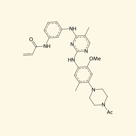 C=CC(=O)Nc1cccc(Nc2nc(Nc3cc(C)c(N4CCN(C(C)=O)CC4)cc3OC)ncc2C)c1